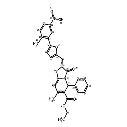 CCOC(=O)C1=C(C)N=c2s/c(=C\c3ccc(-c4cc([N+](=O)O)ccc4C)o3)c(=O)n2C1c1ccccc1